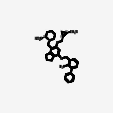 Cc1c(COc2cc(OC[C@H]3C[C@H]3C(=O)O)c(CN3CCCC[C@H]3C(=O)O)c3c2CCC3)cccc1-c1ccccc1